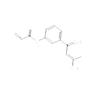 C=CC(=O)Nc1cccc(C(=N)/C=C(\C)O)c1